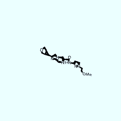 COCCn1ccc(NC(=O)c2cn3cc(C4C5COCC54)nc3cn2)n1